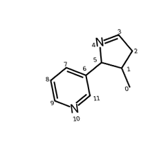 CC1CC=NC1c1cccnc1